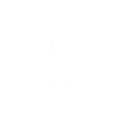 CC1CN(c2ncccc2Cl)CCN1c1nc(Cl)cc(-c2ccc(F)c(Cl)c2)n1